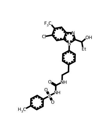 CCC(O)c1nc2cc(C(F)(F)F)c(Cl)cc2n1-c1ccc(CCNC(=O)NS(=O)(=O)c2ccc(C)cc2)cc1